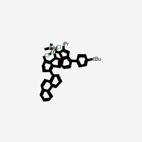 CC1=Cc2c(-c3cccc4c3ccc3ccccc34)ccc(C)c2[CH]1[Zr]([Cl])([Cl])([CH]1C(C(C)C)=Cc2c(-c3ccc(C(C)(C)C)cc3)cccc21)[SiH](C)C